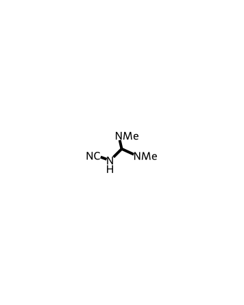 CNC(NC)NC#N